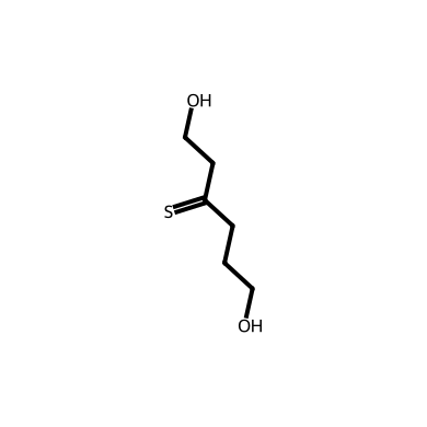 OCCCC(=S)CCO